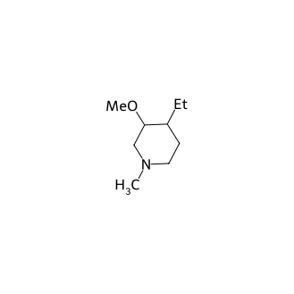 CCC1CCN(C)CC1OC